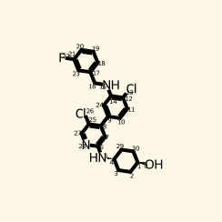 O[C@H]1CC[C@H](Nc2cc(-c3ccc(Cl)c(NCc4cccc(F)c4)c3)c(Cl)cn2)CC1